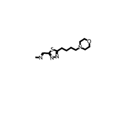 C/N=C/c1nnc(CCCCN2CCOCC2)s1